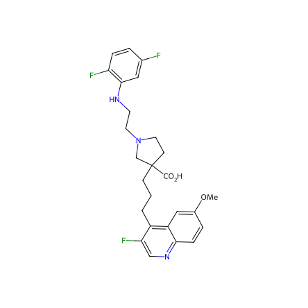 COc1ccc2ncc(F)c(CCCC3(C(=O)O)CCN(CCNc4cc(F)ccc4F)C3)c2c1